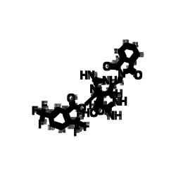 N=C1N[C@H]2[C@H](CN3C(=O)c4ccccc4C3=O)NC(=N)N3C[C@H](OC(=O)c4cc(C(F)(F)F)ccc4C(F)(F)F)C(O)(O)[C@]23N1